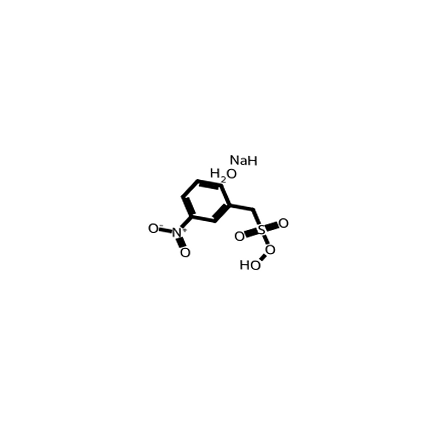 O.O=[N+]([O-])c1cccc(CS(=O)(=O)OO)c1.[NaH]